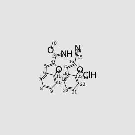 COC(=N)c1cc2ccccc2o1.Cl.N#Cc1cc2ccccc2o1